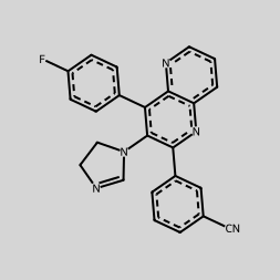 N#Cc1cccc(-c2nc3cccnc3c(-c3ccc(F)cc3)c2N2C=NCC2)c1